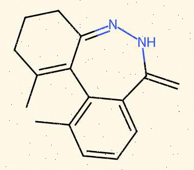 C=C1NN=C2CCCC(C)=C2c2c(C)cccc21